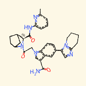 Cc1cccc(NC(=O)[C@@H]2C3CCC(C3)N2C(=O)Cn2cc(C(N)=O)c3cc(-c4cnc5n4CCCC5)ccc32)n1